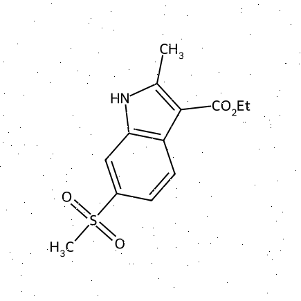 CCOC(=O)c1c(C)[nH]c2cc(S(C)(=O)=O)ccc12